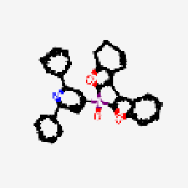 O=P1(c2cc(-c3ccccc3)nc(-c3ccccc3)c2)c2oc3c(c2-c2c1oc1ccccc21)C=CCC3